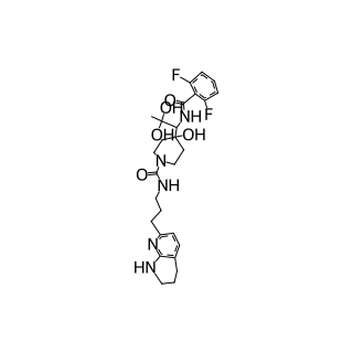 CC(O)(O)C(NC(=O)c1c(F)cccc1F)C1(O)CCN(C(=O)NCCCc2ccc3c(n2)NCCC3)CC1